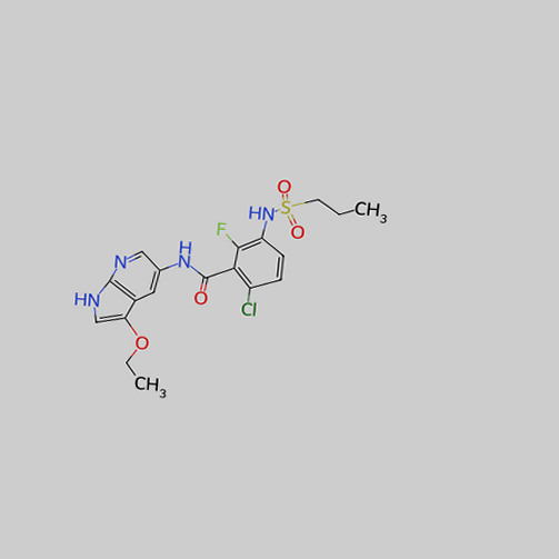 CCCS(=O)(=O)Nc1ccc(Cl)c(C(=O)Nc2cnc3[nH]cc(OCC)c3c2)c1F